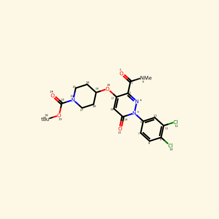 CNC(=O)c1nn(-c2ccc(Cl)c(Cl)c2)c(=O)cc1OC1CCN(C(=O)OC(C)(C)C)CC1